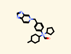 CC1CCC([N+](C=O)(c2ccc(Cn3ccc4ncnc-4c3)cc2)C2CCCC2)CC1